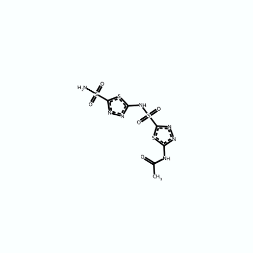 CC(=O)Nc1nnc(S(=O)(=O)Nc2nnc(S(N)(=O)=O)s2)s1